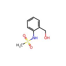 CS(=O)(=O)Nc1ccccc1CO